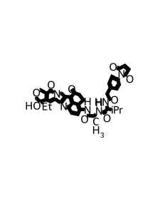 CC[C@@]1(O)COCc2c1cc1n(c2=O)Cc2c-1nc1ccc(NC(=O)C(C)NC(=O)C(NC(=O)Cc3ccc(N4C(=O)C=CC4=O)cc3)C(C)C)c3c1c2C(=O)CC3